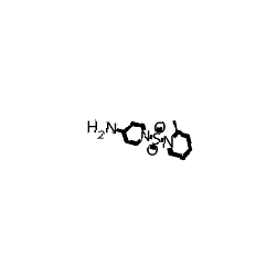 C[C@H]1CCCCN1S(=O)(=O)N1CCC(N)CC1